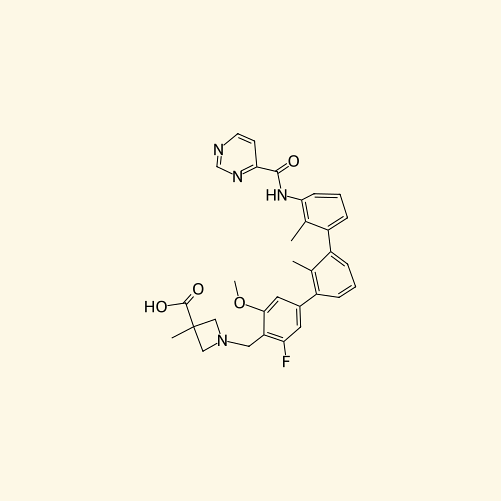 COc1cc(-c2cccc(-c3cccc(NC(=O)c4ccncn4)c3C)c2C)cc(F)c1CN1CC(C)(C(=O)O)C1